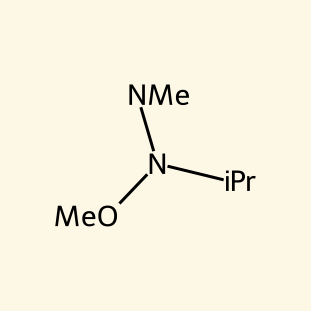 CNN(OC)C(C)C